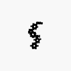 COc1ccc(-n2nnc3cnc(NC4CCN(c5ccncc5)C4)nc32)cc1